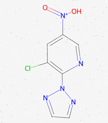 O=[N+](O)c1cnc(-n2nccn2)c(Cl)c1